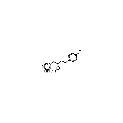 CCCCCCCCCOC(CCc1ccc(F)cc1)Cn1ccnc1